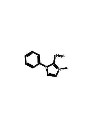 CCCCCCCc1n(-c2ccccc2)cc[n+]1C